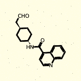 O=CC[C@H]1CC[C@H](NC(=O)c2ccnc3ccccc23)CC1